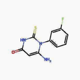 Nc1cc(=O)[nH]c(=S)n1-c1cccc(F)c1